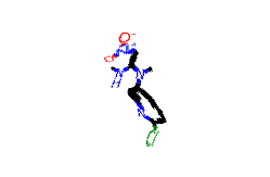 CN/C(=C\[N+](=O)[O-])N(C)c1ccc(Cl)nc1